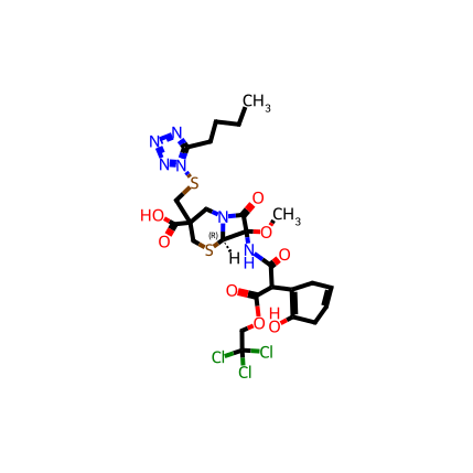 CCCCc1nnnn1SCC1(C(=O)O)CS[C@H]2N(C1)C(=O)C2(NC(=O)C(C(=O)OCC(Cl)(Cl)Cl)C1=C(O)CC=CC1)OC